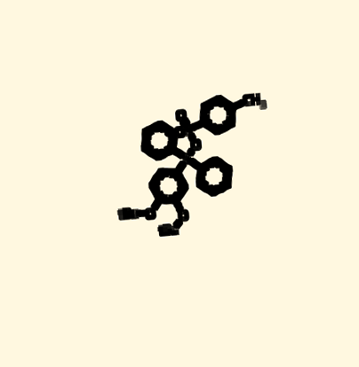 Cc1ccc(S(=O)(=O)OS(c2ccccc2)(c2ccccc2)c2ccc(OC(C)(C)C)c(OC(C)(C)C)c2)cc1